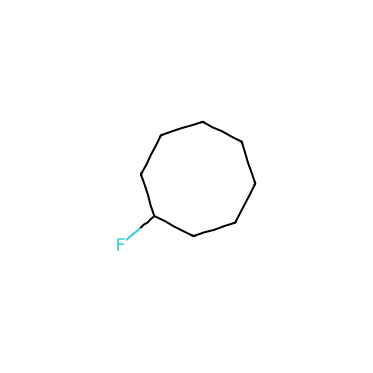 FC1CCCCCCC1